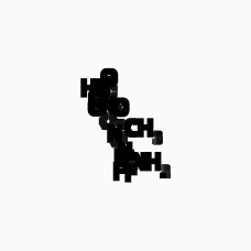 CCCc1c(N2CCC(n3cc(N)c(C(F)F)n3)CC2)ccc2c1C(=O)N(C1CCC(=O)NC1=O)C2=O